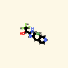 OC(c1nc(Cc2ccncc2Cl)c[nH]1)C(F)(F)F